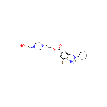 CCN(Cc1cc(C(=O)OCCCN2CCN(CCO)CC2)cc(Br)c1N)C1CCCCC1